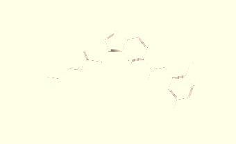 CN(Cc1cc(F)ccc1O)c1ccn2ncc(NC(=O)NCCO)c2n1